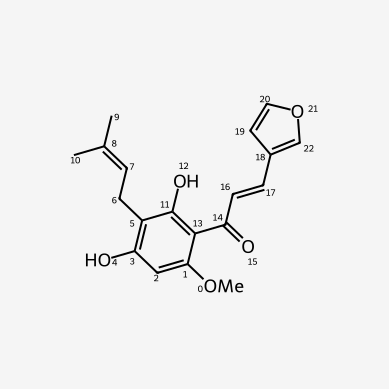 COc1cc(O)c(CC=C(C)C)c(O)c1C(=O)/C=C/c1ccoc1